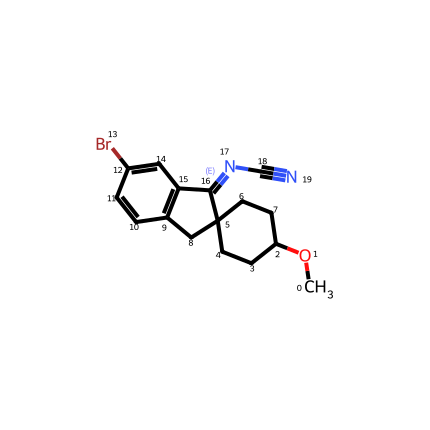 COC1CCC2(CC1)Cc1ccc(Br)cc1/C2=N/C#N